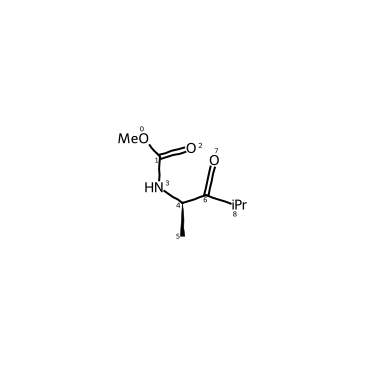 COC(=O)N[C@H](C)C(=O)C(C)C